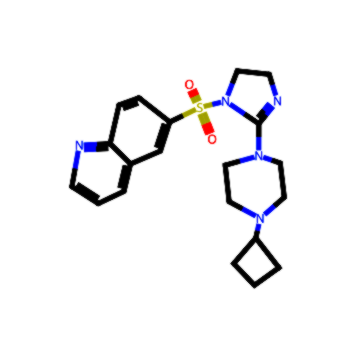 O=S(=O)(c1ccc2ncccc2c1)N1CCN=C1N1CCN(C2CCC2)CC1